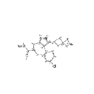 COC(=O)N1Cc2cc(Cl)ccc2-n2c(nnc2C2CC3(CNC3)C2)C1